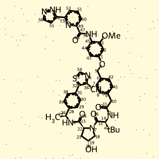 COc1cc(OCc2ccc(CC(=O)N[C@H](C(=O)N3C[C@H](O)C[C@H]3C(=O)N[C@@H](C)c3ccc(-c4scnc4C)cc3)C(C)(C)C)cc2)ccc1NC(=O)c1cccc(-c2ccn[nH]2)n1